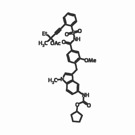 CCC(C)(C#Cc1ccccc1S(=O)(=O)NC(=O)c1ccc(Cc2cn(C)c3ccc(NC(=O)OC4CCCC4)cc23)c(OC)c1)OC(C)=O